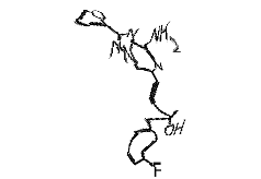 CC(O)(C#Cc1cn2nc(-c3ccco3)nc2c(N)n1)Cc1cccc(F)c1